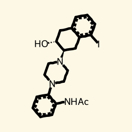 CC(=O)Nc1ccccc1N1CCN([C@@H]2Cc3c(I)cccc3C[C@H]2O)CC1